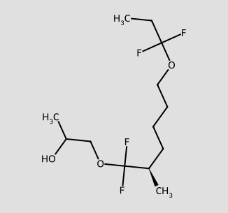 CCC(F)(F)OCCCC[C@@H](C)C(F)(F)OCC(C)O